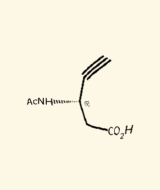 C#C[C@H](CC(=O)O)NC(C)=O